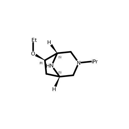 CCO[C@@H]1C[C@H]2CN(C(C)C)C[C@@H]1N2